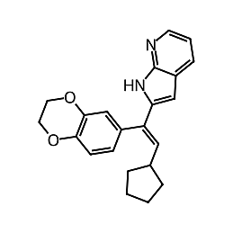 C(=C(/c1ccc2c(c1)OCCO2)c1cc2cccnc2[nH]1)/C1CCCC1